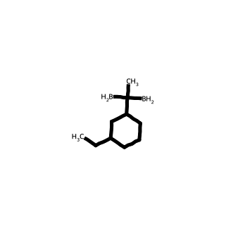 BC(B)(C)C1CCCC(CC)C1